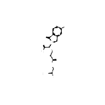 CC(C)COC(=O)CC[C@@H](C(N)=O)N1Cc2cc(Br)ccc2C1=O